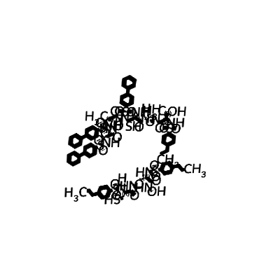 CCCc1ccc(S(=O)(=O)N[C@@H](CONC(=O)[C@H](CS)NS(=O)(=O)c2ccc(CCC)cc2)C(=O)NO)cc1.CCCc1ccc(S(=O)(=O)N[C@H](C(=O)NONC(=O)[C@@H](N)C(S)N(N(ONC(=O)CNS(=O)(=O)c2ccc(-c3ccccc3)cc2)C(=O)[C@H](C)NS(=O)(=O)c2ccc(-c3ccccc3)cc2)S(=O)(=O)c2ccc(-c3ccccc3)cc2)[C@@H](C)O)cc1